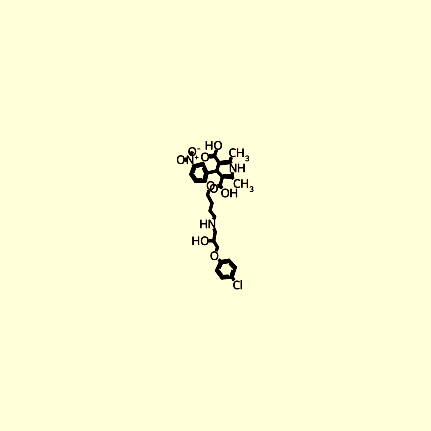 CC1=C(C(=O)O)C(c2cc([N+](=O)[O-])ccc2OCCCCNCC(O)COc2ccc(Cl)cc2)C(C(=O)O)=C(C)N1